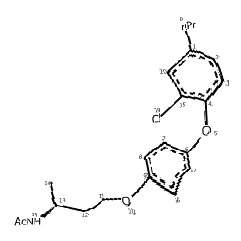 CCCc1ccc(Oc2ccc(OCC[C@H](C)NC(C)=O)cc2)c(Cl)c1